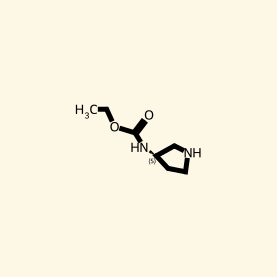 CCOC(=O)N[C@H]1CCNC1